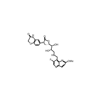 COc1ccc2ncc(F)c(CNC[C@@H](O)[C@H](O)[C@@H]3CN(c4ccc5c(c4)NC(=O)CO5)C(=O)O3)c2n1